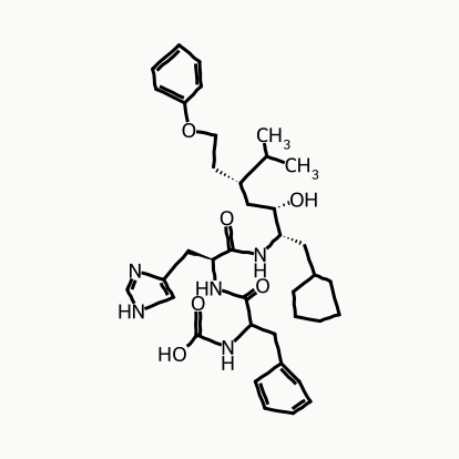 CC(C)[C@@H](CCOc1ccccc1)C[C@H](O)[C@H](CC1CCCCC1)NC(=O)[C@H](Cc1c[nH]cn1)NC(=O)C(Cc1ccccc1)NC(=O)O